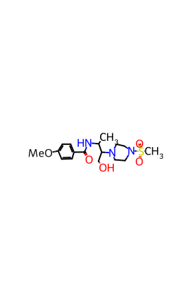 COc1ccc(C(=O)NC(C)C(CO)N2CCN(S(C)(=O)=O)CC2)cc1